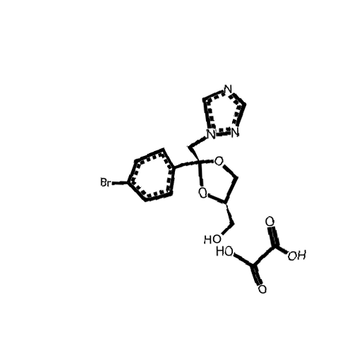 O=C(O)C(=O)O.OC[C@@H]1CO[C@@](Cn2cncn2)(c2ccc(Br)cc2)O1